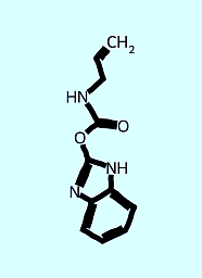 C=CCNC(=O)Oc1nc2ccccc2[nH]1